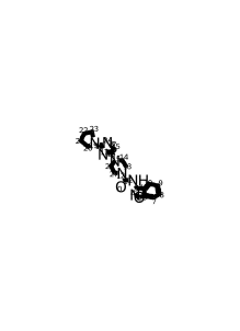 O=C(Nc1noc2ccccc12)N1CCN(c2nc(N3CCCC3)ns2)CC1